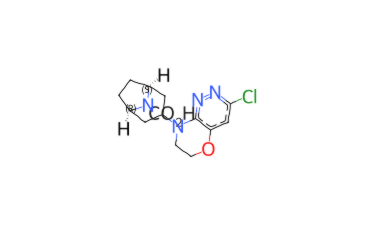 O=C(O)N1[C@@H]2CC[C@H]1CC(N1CCOc3cc(Cl)nnc31)C2